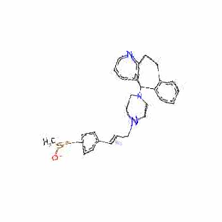 C[S+]([O-])c1ccc(/C=C/CN2CCN(C3c4ccccc4CCc4ncccc43)CC2)cc1